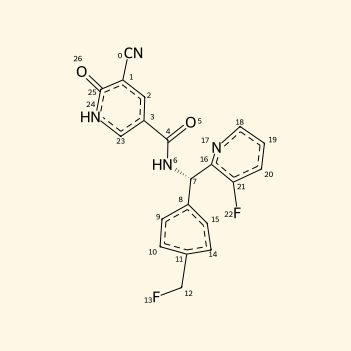 N#Cc1cc(C(=O)N[C@@H](c2ccc(CF)cc2)c2ncccc2F)c[nH]c1=O